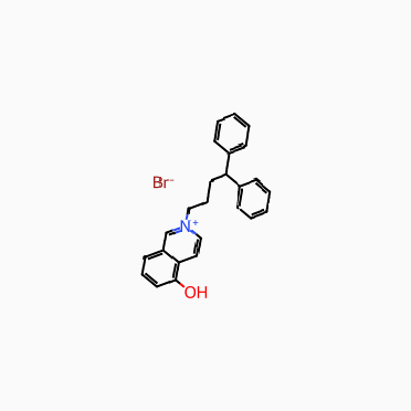 Oc1cccc2c[n+](CCCC(c3ccccc3)c3ccccc3)ccc12.[Br-]